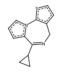 c1cc2n(c1)-c1sccc1CN=C2C1CC1